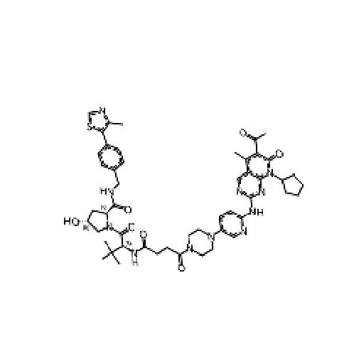 CC(=O)c1c(C)c2cnc(Nc3ccc(N4CCN(C(=O)CCC(=O)N[C@H](C(=O)N5C[C@H](O)C[C@H]5C(=O)NCc5ccc(-c6scnc6C)cc5)C(C)(C)C)CC4)cn3)nc2n(C2CCCC2)c1=O